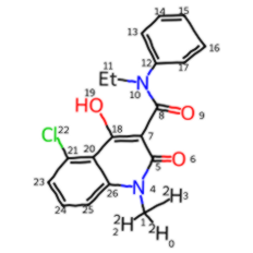 [2H]C([2H])([2H])n1c(=O)c(C(=O)N(CC)c2ccccc2)c(O)c2c(Cl)cccc21